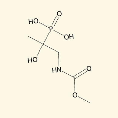 COC(=O)NCC(C)(O)P(=O)(O)O